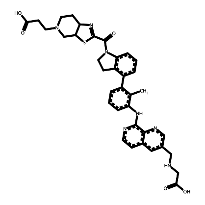 Cc1c(Nc2nccc3cc(CNCC(=O)O)cnc23)cccc1-c1cccc2c1CCN2C(=O)C1=NC2CCN(CCC(=O)O)CC2S1